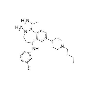 CCCCN1CC=C(c2ccc3c(c2)C(Nc2cccc(Cl)c2)CCN(N)/C3=C(/C)N)CC1